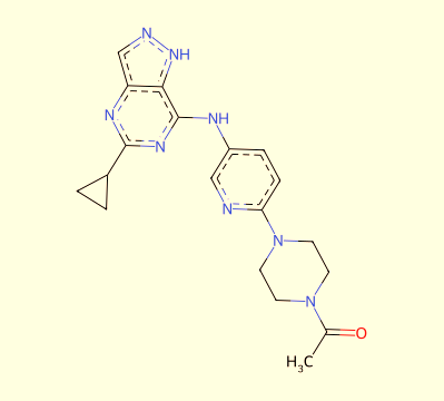 CC(=O)N1CCN(c2ccc(Nc3nc(C4CC4)nc4cn[nH]c34)cn2)CC1